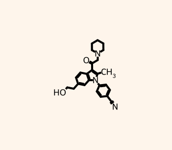 Cc1c(C(=O)CN2CCCCC2)c2ccc(CCO)cc2n1-c1ccc(C#N)cc1